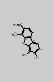 CCCCCCCc1ccc2c(oc3c(C)c(CC)ccc32)c1C